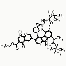 CCOC(=O)c1cn(C)c2ncc(-c3cnc4[nH]c5c(N(C)C(=O)OC(C)(C)C)cc(F)c(F)c5c4c3N3CC[C@@]4(C[C@H]4CNC(=O)OC(C)(C)C)C3)cc2c1=O